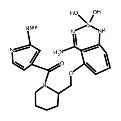 CNc1cc(C(=O)N2CCCCC2COc2cccc3c2C(N)=NS(O)(O)N3)ccn1